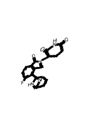 O=C1CCC(N2Cc3c(ccc(F)c3N3CC4CCC3CN4)C2=O)C(=O)N1